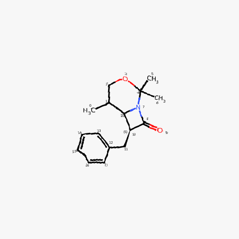 CC1COC(C)(C)N2C(=O)[C@@H](Cc3ccccc3)C12